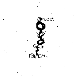 CCCCCCCCOc1ccc(-c2ncc(-c3ccc(OC(=O)CCC(C)CCCC)cc3)cn2)cc1